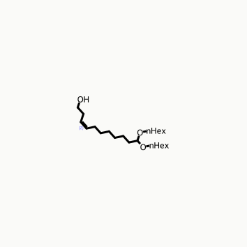 CCCCCCOC(CCCCCC/C=C\CCO)OCCCCCC